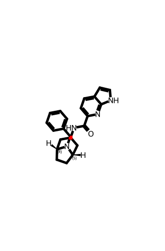 O=C(NC1C[C@H]2CC[C@@H](C1)N2Cc1ccccc1)c1ccc2cc[nH]c2n1